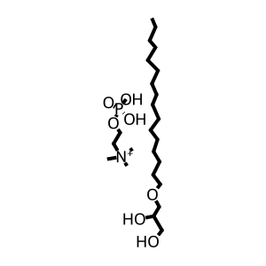 CCCCCCCCCCCCCCCCOCC(O)CO.C[N+](C)(C)CCOP(=O)(O)O